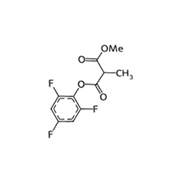 COC(=O)C(C)C(=O)Oc1c(F)cc(F)cc1F